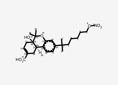 CC(C)(CCCCCO[N+](=O)[O-])c1ccc2c(c1)OC(C)(C)[C@@]1(O)CC=C(C(=O)O)C[C@H]21